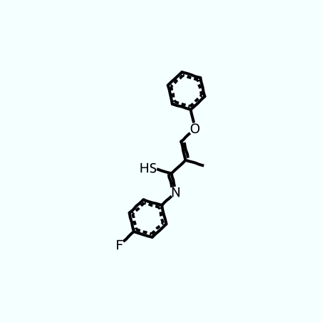 CC(=C\Oc1ccccc1)/C(S)=N/c1ccc(F)cc1